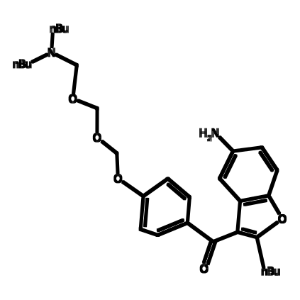 CCCCc1oc2ccc(N)cc2c1C(=O)c1ccc(OCOCOCN(CCCC)CCCC)cc1